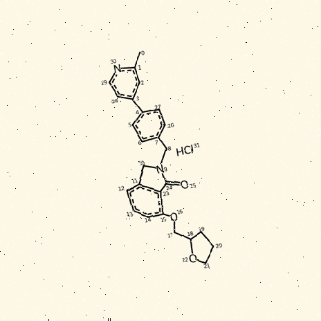 Cc1cc(-c2ccc(CN3Cc4cccc(OCC5CCCO5)c4C3=O)cc2)ccn1.Cl